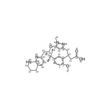 COc1ccc(C(F)(F)F)cc1C(CC(=O)O)Cc1cc(OCCc2ccc3c(n2)NCCC3)n(C)n1